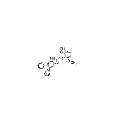 COc1cccc(OC)c1SCc1nc2cc(-n3ccnc3)c(-c3ccncc3)cc2[nH]1